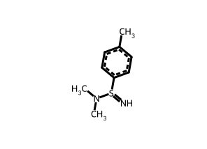 Cc1ccc(S(=N)N(C)C)cc1